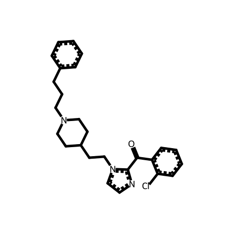 O=C(c1ccccc1Cl)c1nccn1CCC1CCN(CCCc2ccccc2)CC1